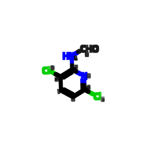 O=CNc1nc(Cl)ccc1Cl